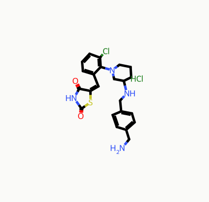 Cl.NCc1ccc(CNC2CCCN(c3c(Cl)cccc3C=C3SC(=O)NC3=O)C2)cc1